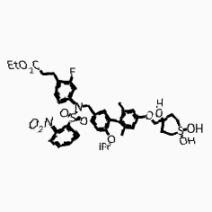 CCOC(=O)CCc1ccc(N(Cc2ccc(OC(C)C)c(-c3c(C)cc(OCC4(O)CCS(O)(O)CC4)cc3C)c2)S(=O)(=O)c2ccccc2[N+](=O)[O-])cc1F